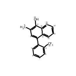 Cc1cc(-c2ccccc2C(F)(F)F)c2cccnc2c1O